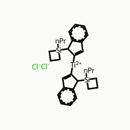 CCC[Si]1(C2[C]([Ti+2][C]3=Cc4ccccc4C3[Si]3(CCC)CCC3)=Cc3ccccc32)CCC1.[Cl-].[Cl-]